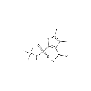 Cc1sc(S(=O)(=O)NC(C)(C)C)c(C(=O)O)c1C